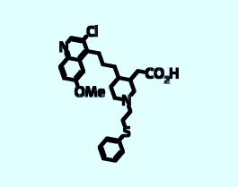 COc1ccc2ncc(Cl)c(CCCC3CCN(CCSc4ccccc4)CC3CC(=O)O)c2c1